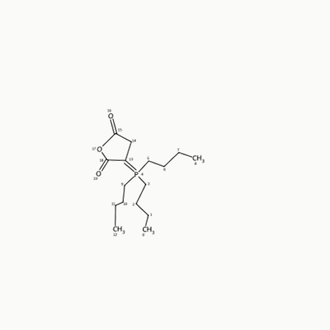 CCCCP(CCCC)(CCCC)=C1CC(=O)OC1=O